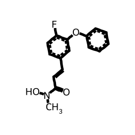 CN(O)C(=O)C=Cc1ccc(F)c(Oc2ccccc2)c1